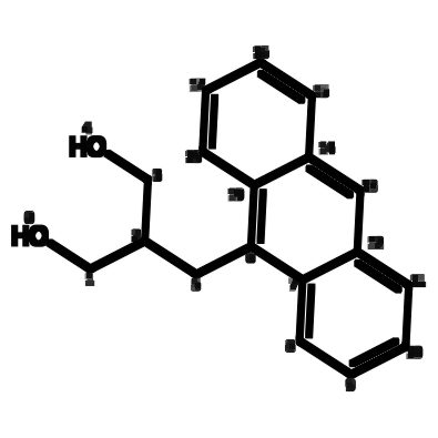 OCC(CO)Cc1c2ccccc2cc2ccccc12